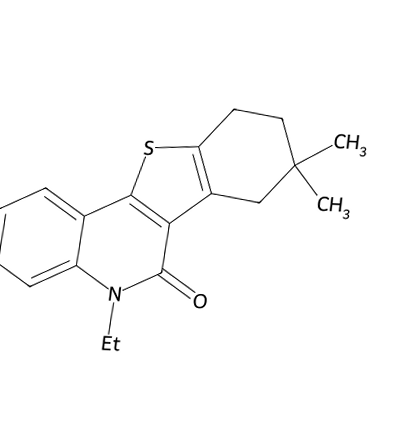 CCn1c(=O)c2c3c(sc2c2ccccc21)CCC(C)(C)C3